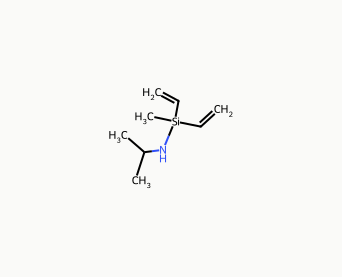 C=C[Si](C)(C=C)NC(C)C